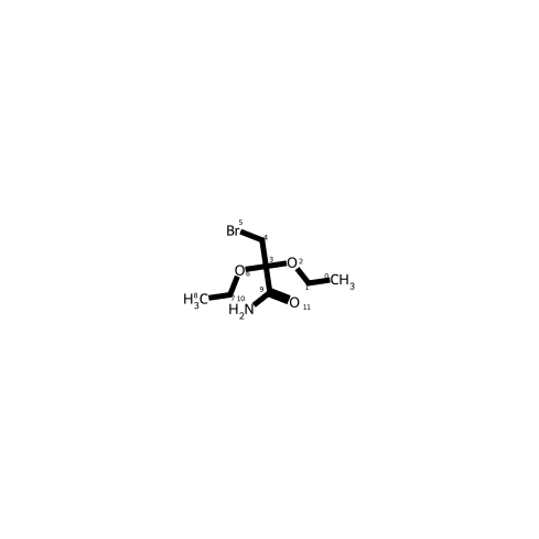 CCOC(CBr)(OCC)C(N)=O